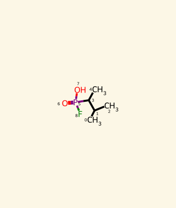 CC(C)C(C)P(=O)(O)F